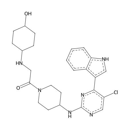 O=C(CNC1CCC(O)CC1)N1CCC(Nc2ncc(Cl)c(-c3c[nH]c4ccccc34)n2)CC1